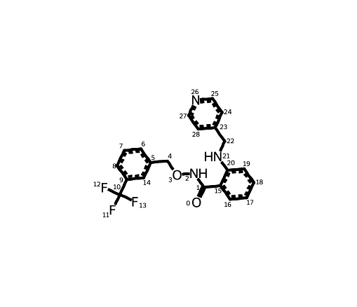 O=C(NOCc1cccc(C(F)(F)F)c1)c1ccccc1NCc1ccncc1